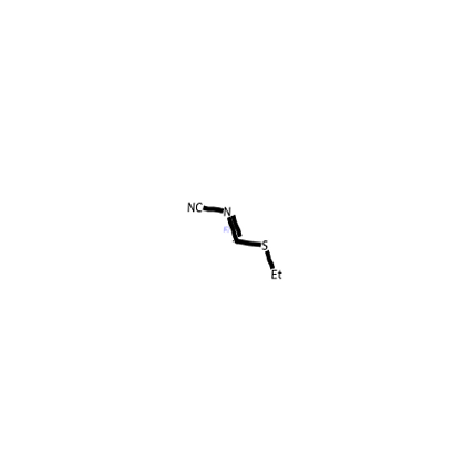 CCS/[C]=N/C#N